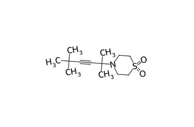 CC(C)(C)C#CC(C)(C)N1CCS(=O)(=O)CC1